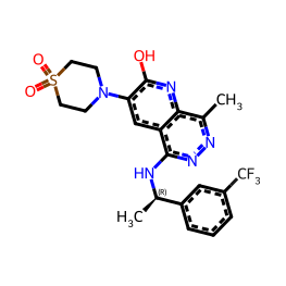 Cc1nnc(N[C@H](C)c2cccc(C(F)(F)F)c2)c2cc(N3CCS(=O)(=O)CC3)c(O)nc12